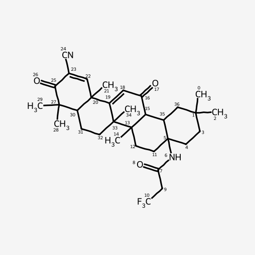 CC1(C)CCC2(NC(=O)CC(F)(F)F)CCC3(C)C(C(=O)C=C4C5(C)C=C(C#N)C(=O)C(C)(C)C5CCC43C)C2C1